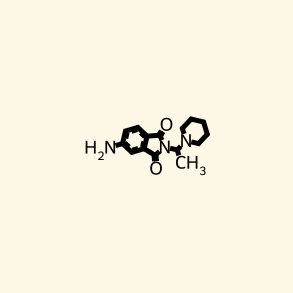 CC(N1CCCCC1)N1C(=O)c2ccc(N)cc2C1=O